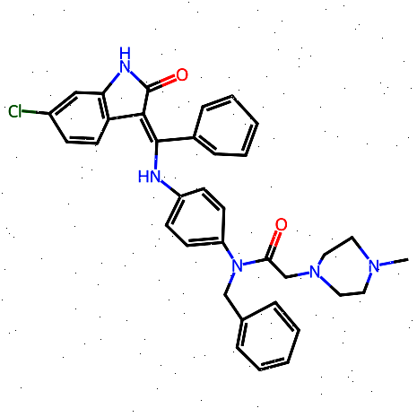 CN1CCN(CC(=O)N(Cc2ccccc2)c2ccc(NC(=C3C(=O)Nc4cc(Cl)ccc43)c3ccccc3)cc2)CC1